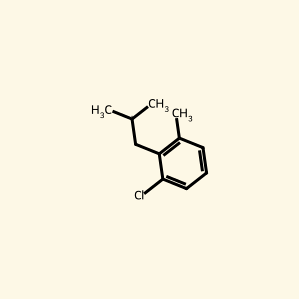 C[C](C)Cc1c(C)cccc1Cl